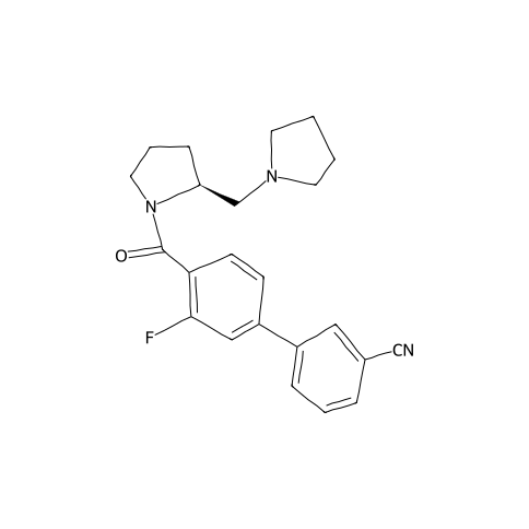 N#Cc1cccc(-c2ccc(C(=O)N3CCC[C@H]3CN3CCCC3)c(F)c2)c1